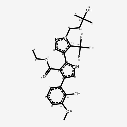 CCOC(=O)c1c(-c2cccc(OC)c2Cl)c[nH]c1-c1cnn(CCC(C)(C)O)c1C(F)(F)F